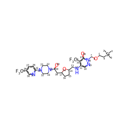 C[Si](C)(C)CCOCn1ncc(NCC2CCC(CC(=O)N3CCN(c4ccc(C(F)(F)F)cn4)CC3)O2)c(C(F)(F)F)c1=O